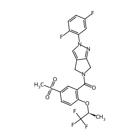 C[C@H](Oc1ccc(S(C)(=O)=O)cc1C(=O)N1Cc2cn(-c3cc(F)ccc3F)nc2C1)C(F)(F)F